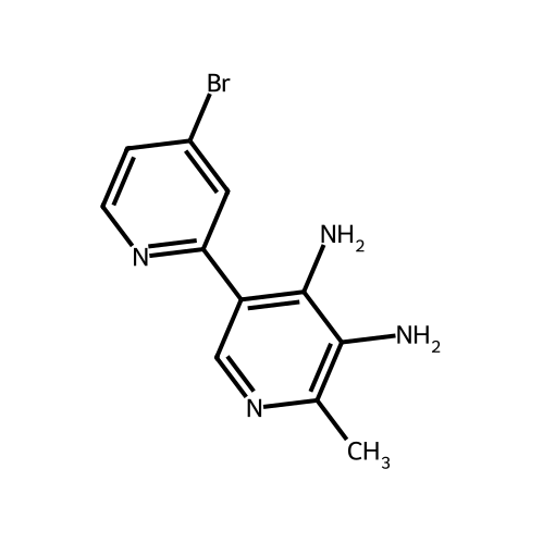 Cc1ncc(-c2cc(Br)ccn2)c(N)c1N